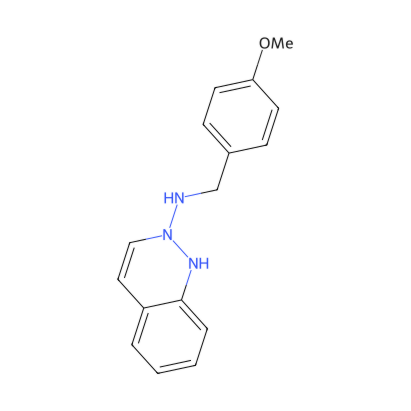 COc1ccc(CNN2C=Cc3ccccc3N2)cc1